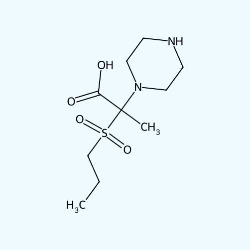 CCCS(=O)(=O)C(C)(C(=O)O)N1CCNCC1